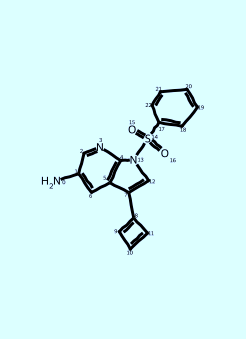 Nc1cnc2c(c1)c(C1=CC=C1)cn2S(=O)(=O)c1ccccc1